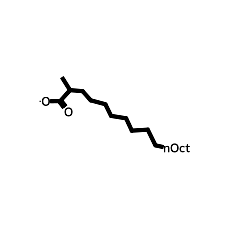 CCCCCCCCCCCCCCCCC(C)C([O])=O